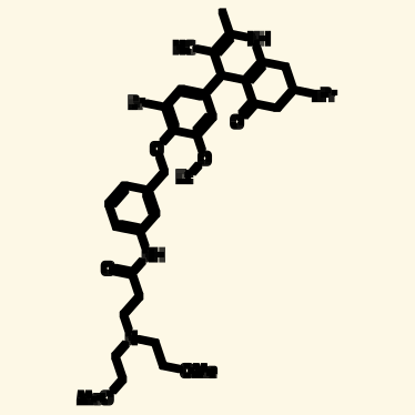 CCCC1CC(=O)C2=C(C1)NC(C)=C(C#N)C2c1cc(Br)c(OCc2cccc(NC(=O)CCN(CCOC)CCOC)c2)c(OCC)c1